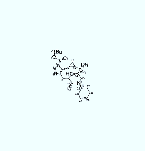 CC(C)(C)OC(=O)n1cnc(CCC(=O)N(CC(O)C(C)(O)C2CC2)[C@@H]2CC=CCC2)c1